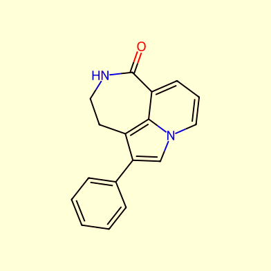 O=C1NCCc2c(-c3ccccc3)cn3cccc1c23